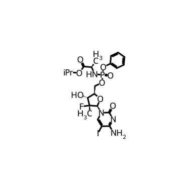 CC(C)OC(=O)[C@@H](C)NP(=O)(OC[C@H]1O[C@@H](n2cc(I)c(N)nc2=O)[C@](C)(F)[C@@H]1O)Oc1ccccc1